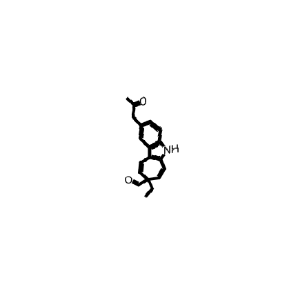 CCC1(C=O)C=Cc2[nH]c3ccc(CC(C)=O)cc3c2C=C1